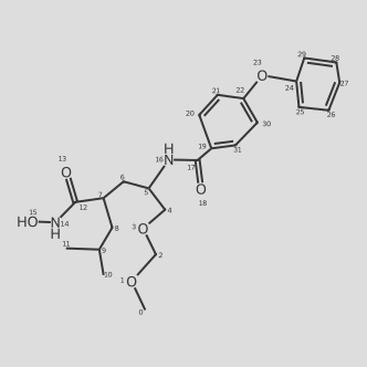 COCOCC(CC(CC(C)C)C(=O)NO)NC(=O)c1ccc(Oc2ccccc2)cc1